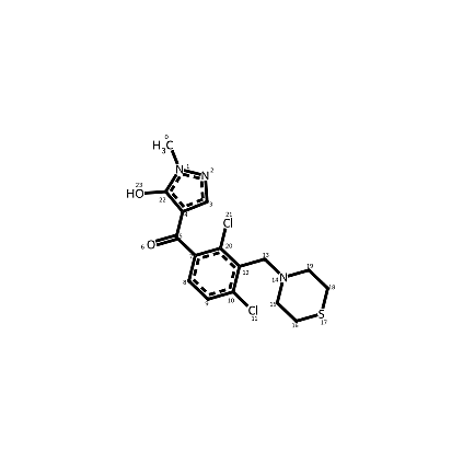 Cn1ncc(C(=O)c2ccc(Cl)c(CN3CCSCC3)c2Cl)c1O